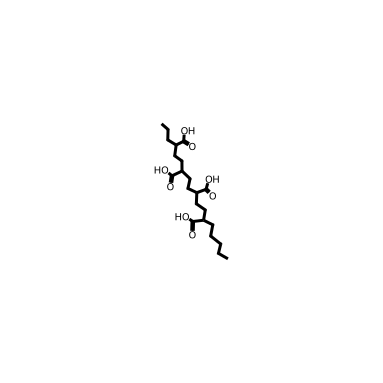 CCCCCC(CCC(CCC(CCC(CCC)C(=O)O)C(=O)O)C(=O)O)C(=O)O